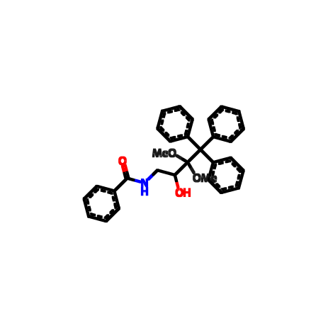 COC(OC)(C(O)CNC(=O)c1ccccc1)C(c1ccccc1)(c1ccccc1)c1ccccc1